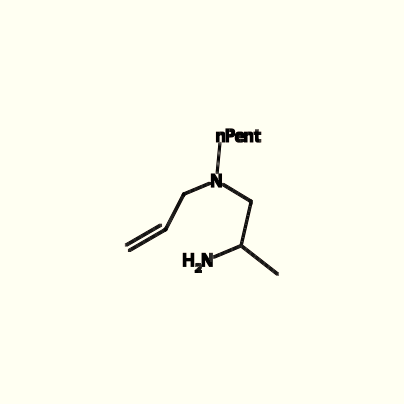 C=CCN(CCCCC)CC(C)N